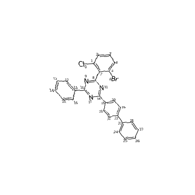 Clc1cccc(Br)c1-c1nc(-c2ccccc2)nc(-c2ccc(-c3ccccc3)cc2)n1